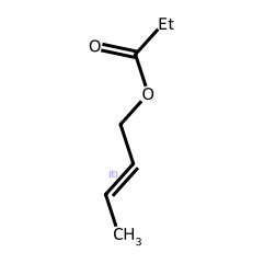 C/C=C/COC(=O)CC